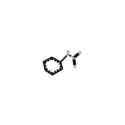 [O]=[Ti](=[O])[NH]c1ccccc1